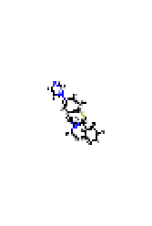 O=[N+]([O-])c1cc(-n2ccnc2)ccc1Sc1nccc2ccccc12